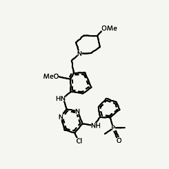 COc1c(CN2CCC(OC)CC2)cccc1Nc1ncc(Cl)c(Nc2ccccc2P(C)(C)=O)n1